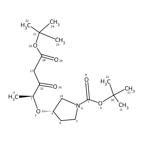 C[C@H](O[C@H]1CCN(C(=O)OC(C)(C)C)C1)C(=O)CC(=O)OC(C)(C)C